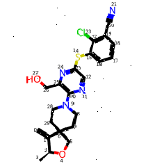 C=C1[C@H](C)OCC12CCN(c1ncc(Sc3cccc(C#N)c3Cl)nc1CO)CC2